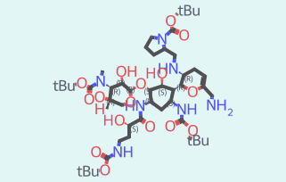 CN(C(=O)OC(C)(C)C)[C@@H]1[C@@H](O)[C@@H](O[C@H]2[C@H](NC(=O)[C@@H](O)CCNC(=O)OC(C)(C)C)C[C@H](NC(=O)OC(C)(C)C)C([C@H]3OC(CN)=CC[C@H]3NCC3CCCN3C(=O)OC(C)(C)C)[C@@H]2O)OC[C@]1(C)O